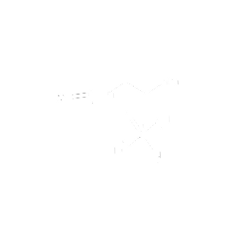 CCCCSSCCCC.OP(O)(=S)S.[O]=[Mo]